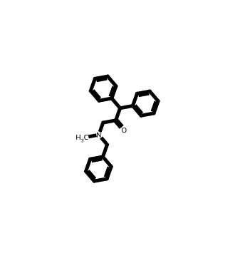 CN(CC(=O)C(c1ccccc1)c1ccccc1)Cc1ccccc1